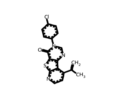 C=C(C)c1ccnc2sc3c(=O)n(-c4ccc(Cl)cc4)cnc3c12